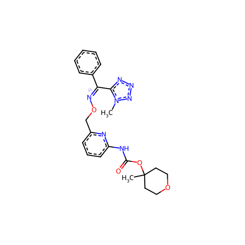 Cn1nnnc1/C(=N\OCc1cccc(NC(=O)OC2(C)CCOCC2)n1)c1ccccc1